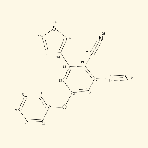 N#Cc1cc(Oc2ccccc2)cc(-c2ccsc2)c1C#N